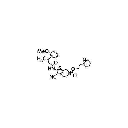 COc1ccccc1C(C)CC(=O)Nc1sc2c(c1C#N)CCN(C(=O)OCCc1ccccn1)C2